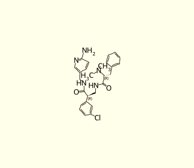 CN(C)[C@H](Cc1ccccc1)C(=O)NC[C@H](C(=O)NCc1ccc(N)nc1)c1cccc(Cl)c1